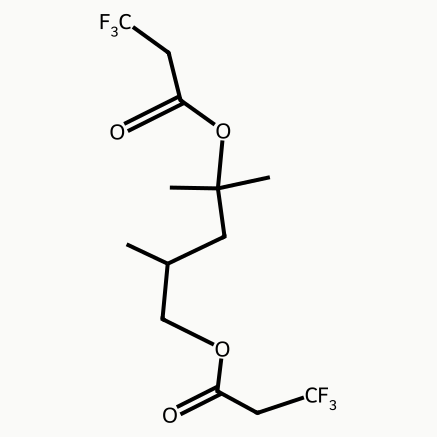 CC(COC(=O)CC(F)(F)F)CC(C)(C)OC(=O)CC(F)(F)F